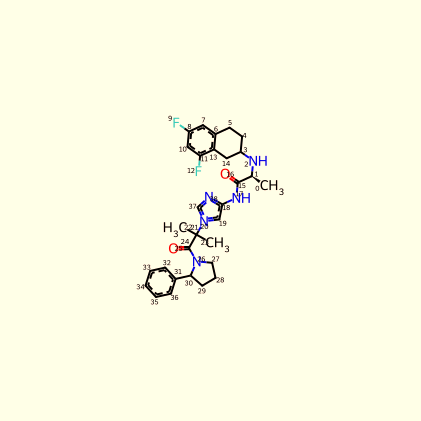 C[C@H](NC1CCc2cc(F)cc(F)c2C1)C(=O)Nc1cn(C(C)(C)C(=O)N2CCCC2c2ccccc2)cn1